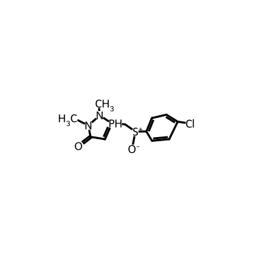 CN1C(=O)C=[PH](C[S+]([O-])c2ccc(Cl)cc2)N1C